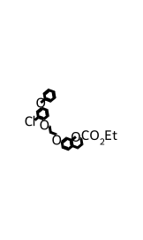 CCOC(=O)C1CCc2ccc(OCCCOc3ccc(Oc4ccccc4)cc3Cl)cc2O1